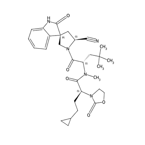 CN(C(=O)[C@H](CCC1CC1)N1CCOC1=O)[C@@H](CC(C)(C)C)C(=O)N1C[C@]2(C[C@H]1C#N)C(=O)Nc1ccccc12